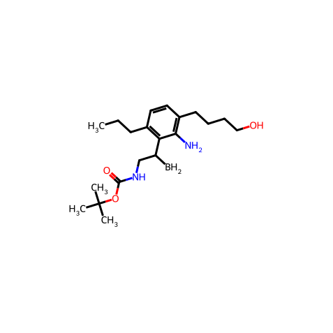 BC(CNC(=O)OC(C)(C)C)c1c(CCC)ccc(CCCCO)c1N